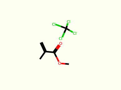 C=C(C)C(=O)OC.ClC(Cl)(Cl)Cl